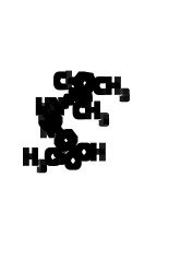 CSc1cc(-c2cc(NCCn3c(C)cc4c(C)ccc(Cl)c43)ncn2)ccc1C(=O)O